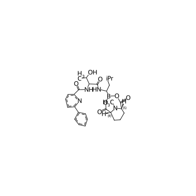 CC(C)CC(NC(=O)C(NC(=O)c1cccc(-c2ccccc2)n1)C(C)O)B1OC(=O)[C@H]2CCC[C@@H](C(=O)O1)N2C